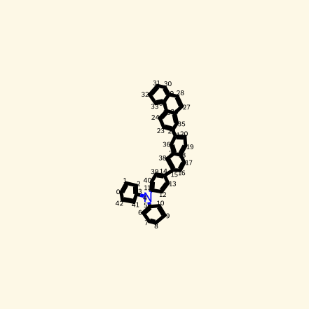 c1ccc(N(c2ccccc2)c2ccc(-c3ccc4ccc(-c5ccc6c(ccc7ccccc76)c5)cc4c3)cc2)cc1